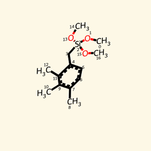 CO[Si](Cc1ccc(C)c(C)c1C)(OC)OC